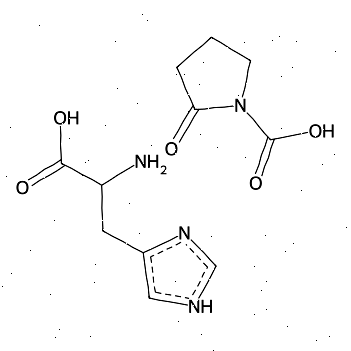 NC(Cc1c[nH]cn1)C(=O)O.O=C(O)N1CCCC1=O